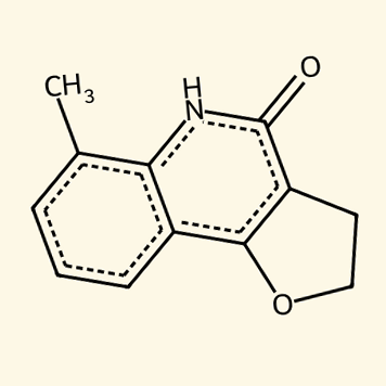 Cc1cccc2c3c(c(=O)[nH]c12)CCO3